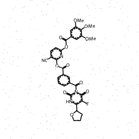 COc1cc(C(=O)Oc2ccc(C#N)c(OC(=O)c3cccc(C(=O)n4c(=O)[nH]c(C5CCCO5)c(F)c4=O)c3)n2)cc(OC)c1OC